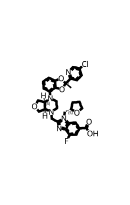 C[C@]1(c2ccc(Cl)cn2)Oc2cccc(N3CCN(Cc4nc5c(F)cc(C(=O)O)cc5n4C[C@@H]4CCCO4)[C@H]4COC[C@H]43)c2O1